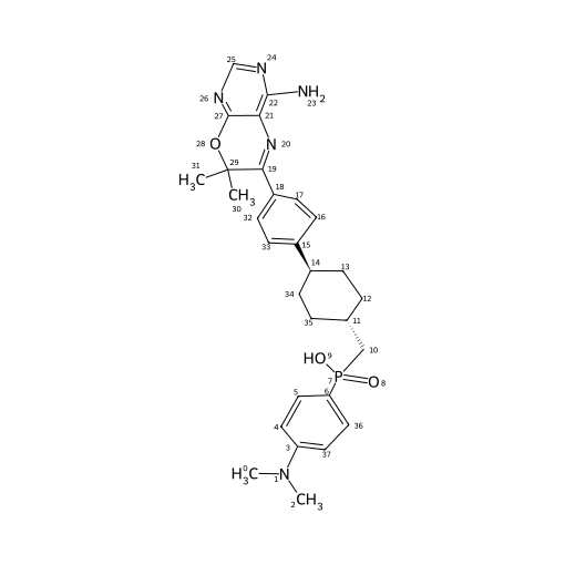 CN(C)c1ccc(P(=O)(O)C[C@H]2CC[C@H](c3ccc(C4=Nc5c(N)ncnc5OC4(C)C)cc3)CC2)cc1